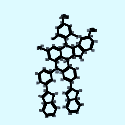 Cc1cc(C(C)(C)C)cc(C)c1N1c2cc(C(C)C)cc3c2B(c2ccc(-c4cc5ccccc5s4)cc2N3c2cccc(-c3cc4ccccc4s3)c2)c2sc3ccc(C(C)(C)C)cc3c21